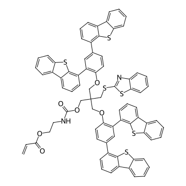 C=CC(=O)OCCNC(=O)OCC(COc1ccc(-c2cccc3c2sc2ccccc23)cc1-c1cccc2c1sc1ccccc12)(COc1ccc(-c2cccc3c2sc2ccccc23)cc1-c1cccc2c1sc1ccccc12)CSc1nc2ccccc2s1